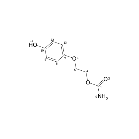 NC(=O)OCCOc1ccc(O)cc1